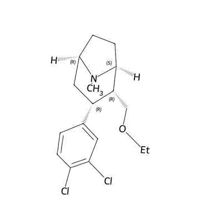 CCOC[C@@H]1[C@H](c2ccc(Cl)c(Cl)c2)C[C@H]2CC[C@@H]1N2C